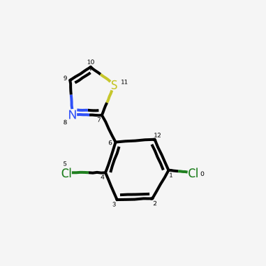 Clc1ccc(Cl)c(-c2nc[c]s2)c1